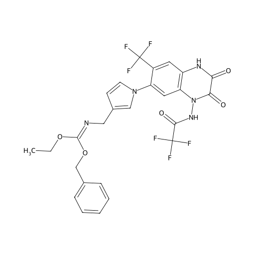 CCOC(=NCc1ccn(-c2cc3c(cc2C(F)(F)F)[nH]c(=O)c(=O)n3NC(=O)C(F)(F)F)c1)OCc1ccccc1